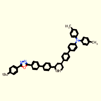 CCC(CC(CC(C)C)c1ccc(-c2ccc(N(c3ccc(C)cc3)c3ccc(C)cc3)cc2)cc1)c1ccc(-c2ccc(-c3nnc(-c4ccc(C(C)(C)C)cc4)o3)cc2)cc1